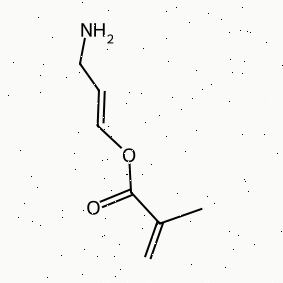 C=C(C)C(=O)OC=CCN